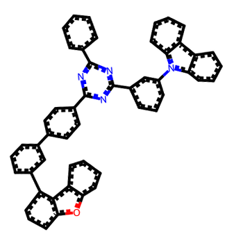 c1ccc(-c2nc(-c3ccc(-c4cccc(-c5cccc6oc7ccccc7c56)c4)cc3)nc(-c3cccc(-n4c5ccccc5c5ccccc54)c3)n2)cc1